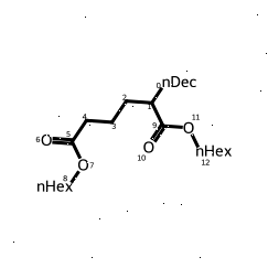 CCCCCCCCCCC(CCCC(=O)OCCCCCC)C(=O)OCCCCCC